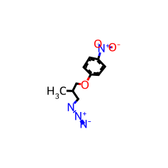 CC(CN=[N+]=[N-])COc1ccc([N+](=O)[O-])cc1